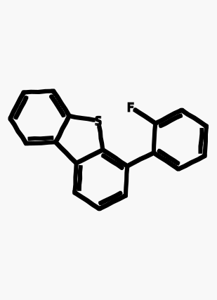 Fc1ccccc1-c1cccc2c1sc1ccccc12